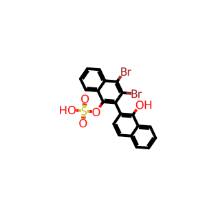 O=S(=O)(O)Oc1c(-c2ccc3ccccc3c2O)c(Br)c(Br)c2ccccc12